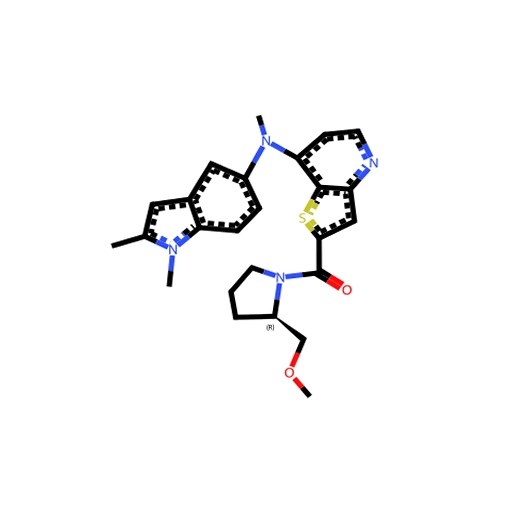 COC[C@H]1CCCN1C(=O)c1cc2nccc(N(C)c3ccc4c(c3)cc(C)n4C)c2s1